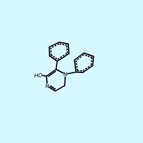 OC1=C(c2ccccc2)N(c2ccccc2)CC=N1